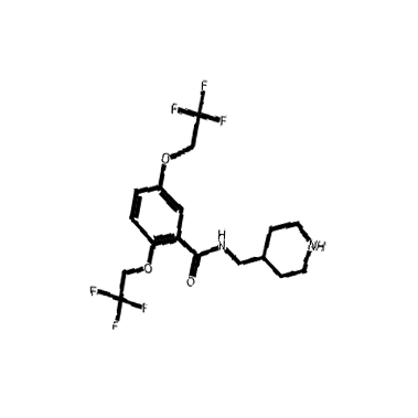 O=C(NCC1CCNCC1)c1cc(OCC(F)(F)F)ccc1OCC(F)(F)F